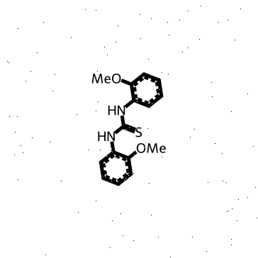 COc1ccccc1NC(=S)Nc1ccccc1OC